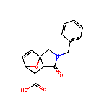 O=C(O)C1C2C=CC3(CN(Cc4ccccc4)C(=O)C13)O2